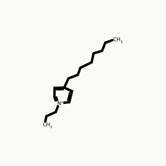 CCCCCCCCc1cc[n+](CCC)cc1